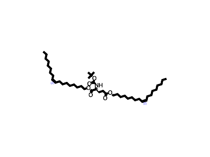 CCCCCCCC/C=C\CCCCCCCCOC(=O)CC[C@H](NC(=O)OC(C)(C)C)C(=O)OCCCCCCCC/C=C\CCCCCCCC